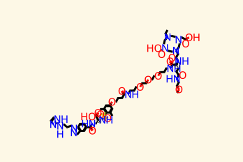 CCN1CCN(CC(=O)O)CCN(CC(=O)N[C@H](CCC(=O)NCCOC)C(=O)NCCCOCCOCCOCCCNC(=O)CCCOc2cc(C)c(S(=O)(=O)N[C@@H](CNC(=O)c3ccc4c(cnn4CCCNc4ncc[nH]4)c3)C(=O)O)c(C)c2)CCN(C(=O)O)CC1